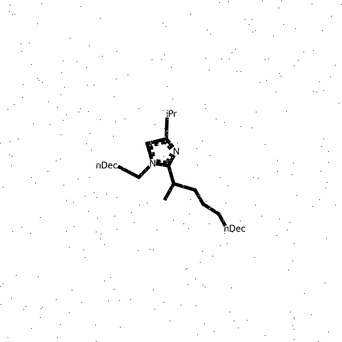 CCCCCCCCCCCCCC(C)c1nc(C(C)C)cn1CCCCCCCCCCC